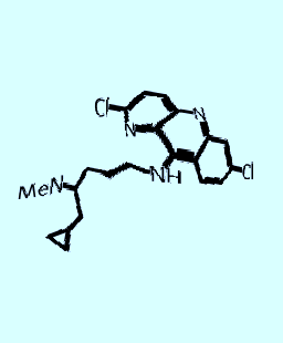 CNC(CCCNc1c2ccc(Cl)cc2nc2ccc(Cl)nc12)CC1CC1